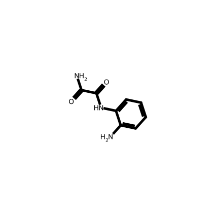 NC(=O)C(=O)Nc1ccccc1N